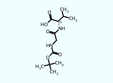 CC(C)[C@H](NC(=O)CNC(=O)OC(C)(C)C)C(=O)O